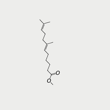 COC(=O)CCCC/C=C(\C)CCC=C(C)C